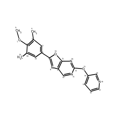 COc1c(C)cc(-c2nc3cnc(Oc4cccnc4)nc3o2)cc1C